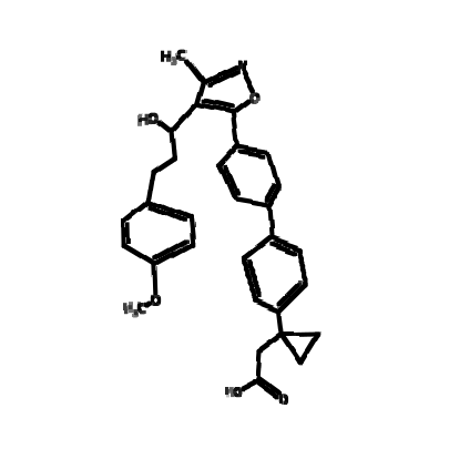 COc1ccc(CCC(O)c2c(C)noc2-c2ccc(-c3ccc(C4(CC(=O)O)CC4)cc3)cc2)cc1